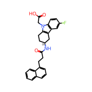 O=C(O)Cn1c2c(c3cc(F)ccc31)C[C@@H](NC(=O)CCc1cccc3ccccc13)CC2